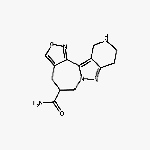 NC(=O)C1Cc2conc2-c2c3c(nn2C1)CCNC3